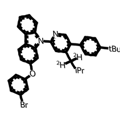 [2H]C([2H])(c1cc(-n2c3ccccc3c3ccc(Oc4cccc(Br)c4)cc32)ncc1-c1ccc(C(C)(C)C)cc1)C(C)C